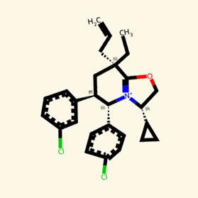 C=CC[C@@]1(CC)C[C@H](c2cccc(Cl)c2)[C@@H](c2ccc(Cl)cc2)[N+]2=C1OC[C@@H]2C1CC1